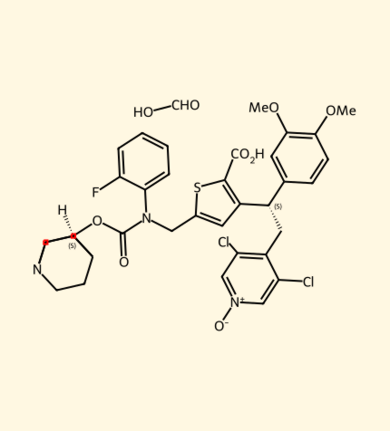 COc1ccc([C@H](Cc2c(Cl)c[n+]([O-])cc2Cl)c2cc(CN(C(=O)O[C@@H]3CN4CCC3CC4)c3ccccc3F)sc2C(=O)O)cc1OC.O=CO